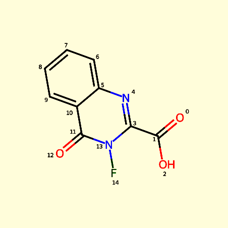 O=C(O)c1nc2ccccc2c(=O)n1F